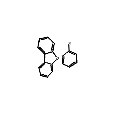 Brc1ccccc1.c1ccc2c(c1)oc1ccccc12